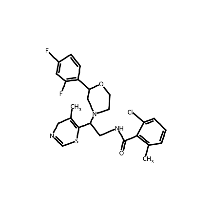 CC1=C(C(CNC(=O)c2c(C)cccc2Cl)N2CCOC(c3ccc(F)cc3F)C2)SC=NC1